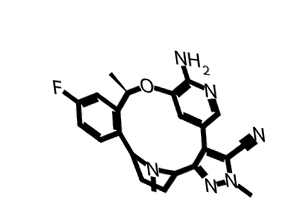 C[C@H]1Oc2cc(cnc2N)-c2c(nn(C)c2C#N)C2CCC(c3ccc(F)cc31)N2C